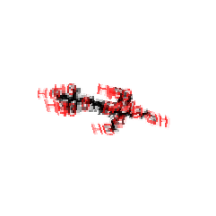 OCCOCC(OCCO)C(OCCO)C(COCCCCOCC(CO)C(CO)C(CO)CCO)OCCO